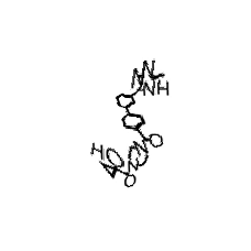 Cc1nnc(-c2cccc(-c3ccc(C(=O)N4CCN(C(=O)C5(O)CC5)CC4)cc3)c2)[nH]1